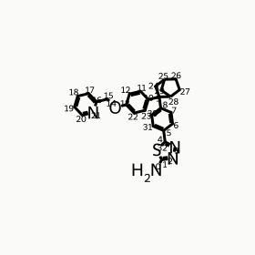 Nc1nnc(-c2ccc(C3(c4ccc(OCc5ccccn5)cc4)CC4CCC3C4)cc2)s1